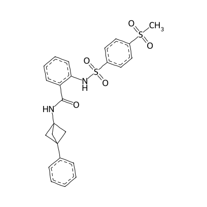 CS(=O)(=O)c1ccc(S(=O)(=O)Nc2ccccc2C(=O)NC23CC(c4ccccc4)(C2)C3)cc1